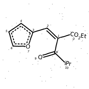 CCOC(=O)C(=Cc1ccco1)C(=O)C(C)C